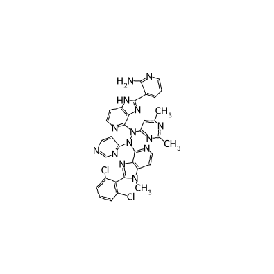 Cc1cc(N(c2nccc3[nH]c(-c4cccnc4N)nc23)N(c2ccncn2)c2nccc3c2nc(-c2c(Cl)cccc2Cl)n3C)nc(C)n1